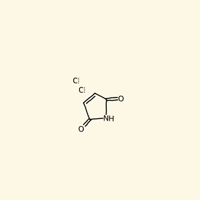 O=C1C=CC(=O)N1.[C].[C]